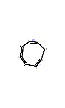 C1=C/C=C\C/C=C\C=1